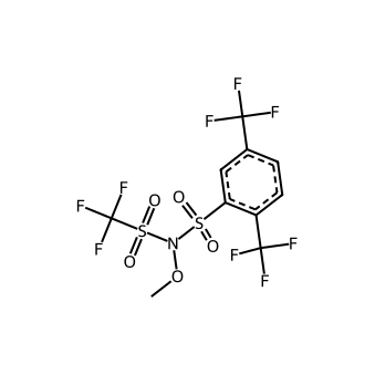 CON(S(=O)(=O)c1cc(C(F)(F)F)ccc1C(F)(F)F)S(=O)(=O)C(F)(F)F